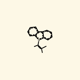 CC(C)=C(C)n1c2ccccc2c2ccccc21